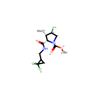 CO[C@H]1[C@@H](C(=O)NCC2CC2(Cl)Cl)N(C(=O)OC(C)(C)C)C[C@@H]1F